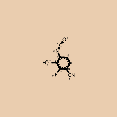 Cc1c(N=C=O)ccc(C#N)c1F